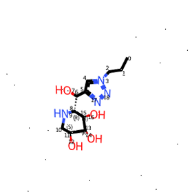 CCCn1cc(C(O)[C@H]2NC[C@H](O)[C@@H](O)[C@@H]2O)nn1